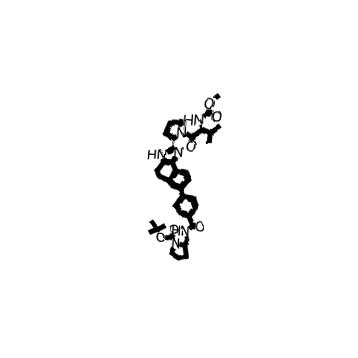 COC(=O)N[C@H](C(=O)N1CCC[C@H]1c1nc2c([nH]1)CCc1cc(-c3ccc(C(=O)NCC4CCCN4C(=O)OC(C)(C)C)cc3)ccc1-2)C(C)C